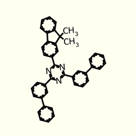 CC1(C)c2ccccc2-c2ccc(-c3nc(-c4cccc(-c5ccccc5)c4)nc(-c4cccc(-c5ccccc5)c4)n3)cc21